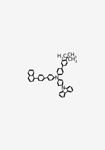 CC(C)(C)c1ccc(-c2ccc(N(c3ccc(-c4ccc(-c5cccc6ccccc56)cc4)cc3)c3ccc(-n4c5ccccc5c5ccccc54)cc3)cc2)cc1